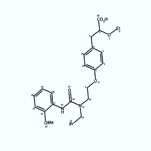 CCOC(Cc1ccc(OCCN(CC(C)C)C(=O)Nc2ccccc2OC)cc1)C(=O)O